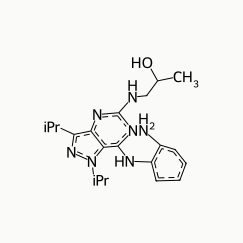 CC(O)CNc1nc(Nc2ccccc2N)c2c(n1)c(C(C)C)nn2C(C)C